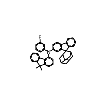 CC1(C)c2ccccc2-c2c(N(c3cccc(F)c3)c3ccc4c(c3)C3(c5ccccc5-4)C4CC5CC(C4)CC3C5)cccc21